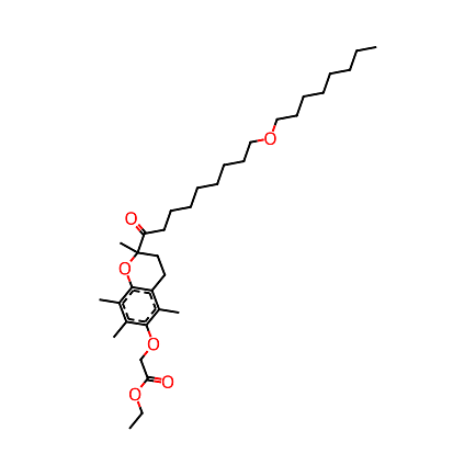 CCCCCCCCOCCCCCCCCC(=O)C1(C)CCc2c(C)c(OCC(=O)OCC)c(C)c(C)c2O1